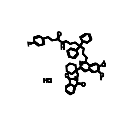 COc1cc2cc(C3(CN4C(=O)c5ccccc5C4=O)CCCCC3)nc(CCCC(CCCNC(=O)CCc3ccc(F)cc3)(c3ccccc3)c3ccccc3)c2cc1OC.Cl